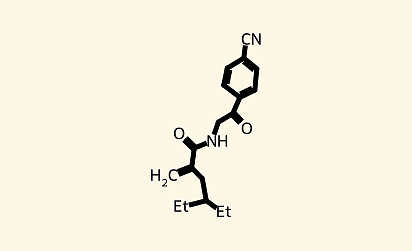 C=C(CC(CC)CC)C(=O)NCC(=O)c1ccc(C#N)cc1